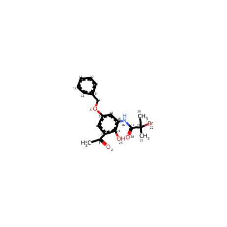 CC(=O)c1cc(OCc2ccccc2)cc(NC(=O)C(C)(C)Br)c1O